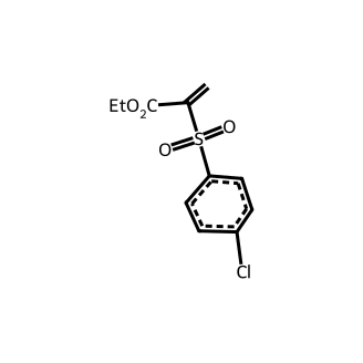 C=C(C(=O)OCC)S(=O)(=O)c1ccc(Cl)cc1